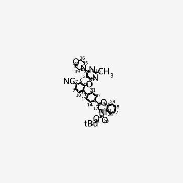 Cc1nc(Oc2cc(C#N)ccc2-c2ccc(C(CNC(=O)OC(C)(C)C)Oc3ccccc3)cc2)cc(N2CCOCC2)n1